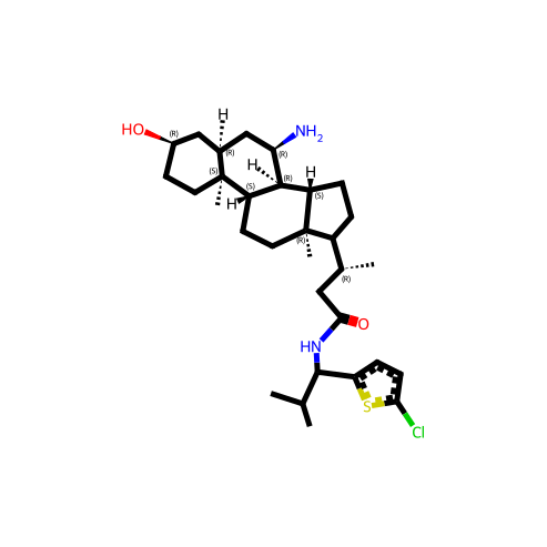 CC(C)C(NC(=O)C[C@@H](C)C1CC[C@H]2[C@@H]3[C@H](N)C[C@@H]4C[C@H](O)CC[C@]4(C)[C@H]3CC[C@]12C)c1ccc(Cl)s1